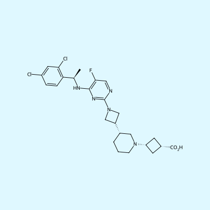 C[C@@H](Nc1nc(N2CC([C@H]3CCCN([C@H]4C[C@@H](C(=O)O)C4)C3)C2)ncc1F)c1ccc(Cl)cc1Cl